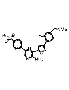 CCC(C)S(=O)(=O)c1ccc(-c2cnc(N)c(-c3cc(-c4ccc(CNC)cc4F)no3)n2)cc1